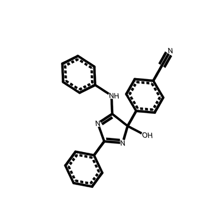 N#Cc1ccc(C2(O)N=C(c3ccccc3)N=C2Nc2ccccc2)cc1